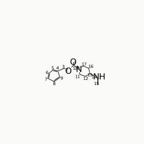 O=C(OCc1ccccc1)N1CCC(NI)CC1